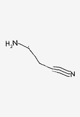 N#CC[CH]N